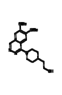 COc1cc2cnnc(N3CCC(CCO)CC3)c2cc1OC